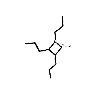 CCCC1C(CCC)N(CCC)[C@@H]1C